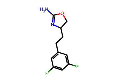 NC1=NC(CCc2cc(F)cc(F)c2)CO1